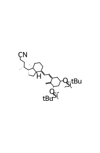 C=C1/C(=C\C=C2/CCC[C@]3(C)[C@@H]([C@H](C)CCC#N)CC[C@@H]23)C[C@@H](O[Si](C)(C)C(C)(C)C)C[C@@H]1O[Si](C)(C)C(C)(C)C